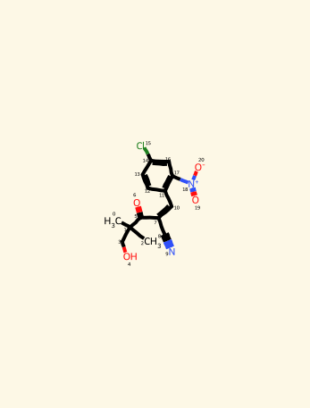 CC(C)(CO)C(=O)C(C#N)=Cc1ccc(Cl)cc1[N+](=O)[O-]